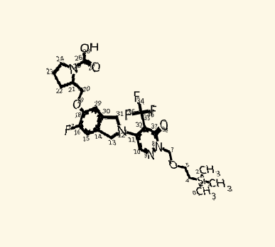 C[Si](C)(C)CCOCn1ncc(N2Cc3cc(F)c(OCC4CCCN4C(=O)O)cc3C2)c(C(F)(F)F)c1=O